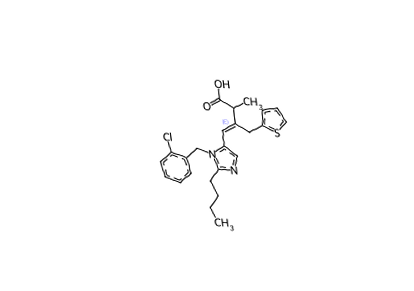 CCCCc1ncc(/C=C(\Cc2cccs2)C(C)C(=O)O)n1Cc1ccccc1Cl